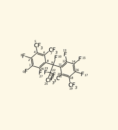 Fc1c(F)c(C(F)(F)F)c(C(F)(F)F)c(C(F)(c2c(F)c(F)c(F)c(C(F)(F)F)c2C(F)(F)F)C(F)(F)C(F)(F)F)c1F